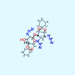 [N-]=[N+]=NC1C(O)[C@@H]2OC3(CCCCC3)OCC2O[C@@H]1O[C@@H]1C(N=[N+]=[N-])C[C@@H](N=[N+]=[N-])C2OC3(CCCCC3)OC21